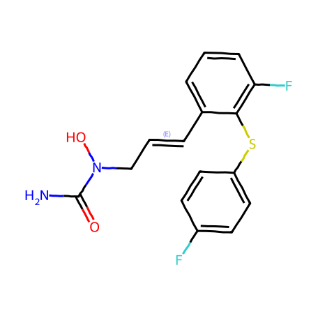 NC(=O)N(O)C/C=C/c1cccc(F)c1Sc1ccc(F)cc1